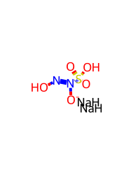 O=S(=O)(O)/[N+]([O-])=N/O.[NaH].[NaH]